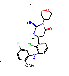 COc1ccc(F)cc1Nc1cccc([C@]2(C)CC(=O)N(C3CCOCC3)C(=N)N2)c1Cl